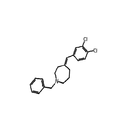 Clc1ccc(C=C2CCCN(Cc3ccccc3)CC2)cc1Cl